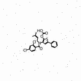 CC(C)=CCN(C(=O)c1ccc(Cl)cc1Cl)c1cc(-c2ccccc2)sc1OC(=O)O